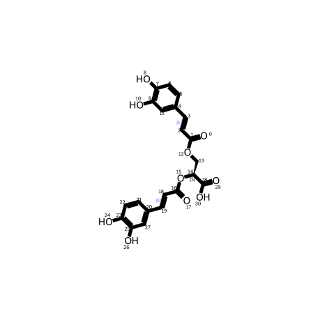 O=C(/C=C/c1ccc(O)c(O)c1)OC[C@H](OC(=O)/C=C/c1ccc(O)c(O)c1)C(=O)O